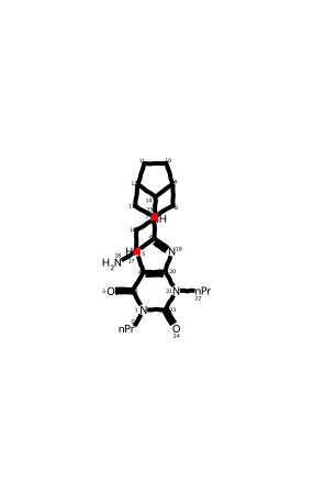 CCCn1c(=O)c2[nH]c(C3CC4CCC(C3)C4NCCN)nc2n(CCC)c1=O